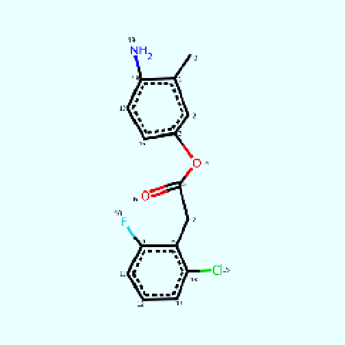 Cc1cc(OC(=O)Cc2c(F)cccc2Cl)ccc1N